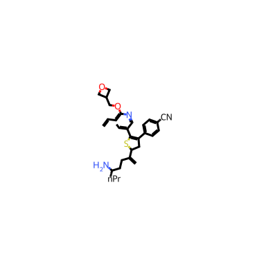 C=C/C=C(/N=C\C(=C/C)C1=C(c2ccc(C#N)cc2)CC(C(=C)CCC(N)CCC)S1)OCC1COC1